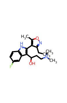 CCc1noc(C)c1-c1[nH]c2ccc(F)cc2c1C(O)CCN(C)C